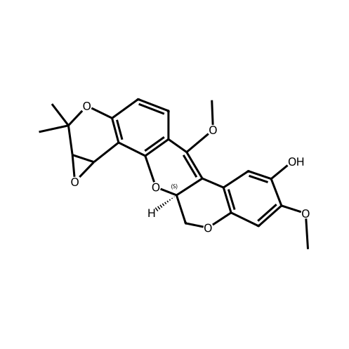 COC1=C2c3cc(O)c(OC)cc3OC[C@H]2Oc2c1ccc1c2C2OC2C(C)(C)O1